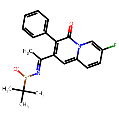 CC(=N[S+]([O-])C(C)(C)C)c1cc2ccc(F)cn2c(=O)c1-c1ccccc1